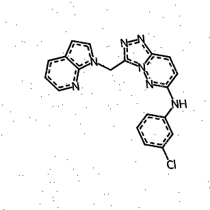 Clc1cccc(Nc2ccc3nnc(Cn4ccc5cccnc54)n3n2)c1